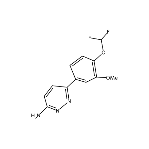 COc1cc(-c2ccc(N)nn2)ccc1OC(F)F